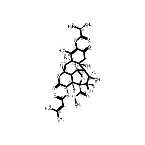 COC(=O)[C@@]12OC[C@H]3C4[C@@H](C[C@H]5C(C)=C(OC(=O)[C@H](C)N)C(=O)C[C@]5(C)C3[C@@H](O)[C@@H]1O)OC(=O)[C@H](OC(=O)C=C(C)C)[C@H]42